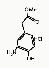 COC(=O)Cc1ccc(O)c(N)c1.Cl